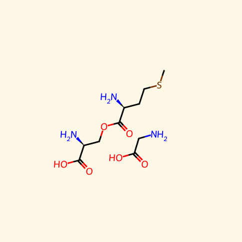 CSCC[C@H](N)C(=O)OC[C@H](N)C(=O)O.NCC(=O)O